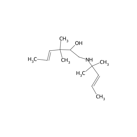 CC=CC(C)(C)NCC(O)C(C)(C)C=CC